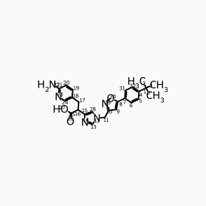 CC(C)(C)c1ccc(-c2cc(Cn3cnc(C(Cc4ccc(N)nc4)C(=O)O)c3)no2)cc1